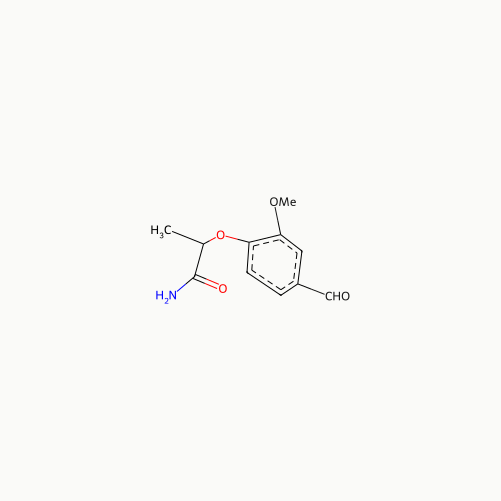 COc1cc(C=O)ccc1OC(C)C(N)=O